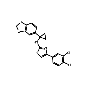 Clc1ccc(-c2csc(NC3(c4ccc5c(c4)OCO5)CC3)n2)cc1Cl